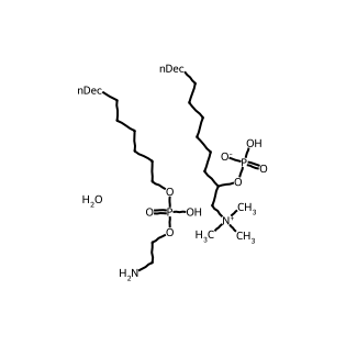 CCCCCCCCCCCCCCCCC(C[N+](C)(C)C)OP(=O)([O-])O.CCCCCCCCCCCCCCCCOP(=O)(O)OCCN.O